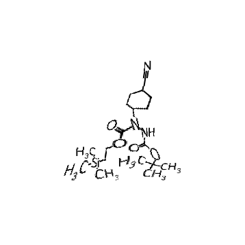 CC(C)(C)OC(=O)NN(C(=O)OCC[Si](C)(C)C)C1CCC(C#N)CC1